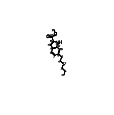 CCCSCCc1ccc2cc(C(=O)OC)[nH]c2c1